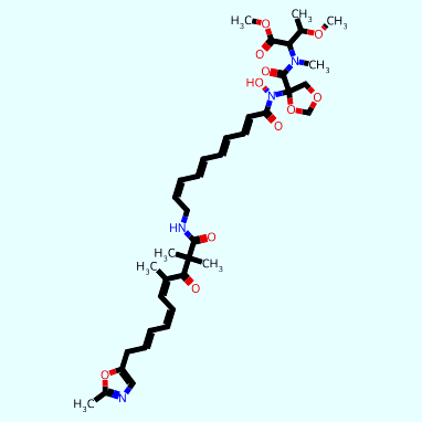 COC(=O)C(C(C)OC)N(C)C(=O)C1(N(O)C(=O)/C=C/C=C/C=C/C=C\CNC(=O)C(C)(C)C(=O)\C(C)=C/C=C\C=C\Cc2cnc(C)o2)COCO1